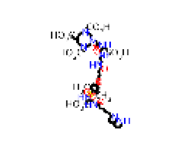 Cc1cc(OCCCC(=O)NCCNC(=O)[C@H](CS(=O)(=O)O)NC(=O)CN2CCN(CC(=O)O)CCC(CC(=O)O)CCN(CC(=O)O)CC2)cc(C)c1S(=O)(=O)N[C@@H](CNC(=O)CCCCc1ccc2c(n1)NCCC2)C(=O)O